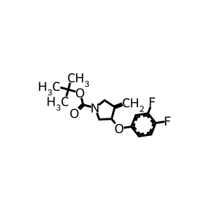 C=C1CN(C(=O)OC(C)(C)C)CC1Oc1ccc(F)c(F)c1